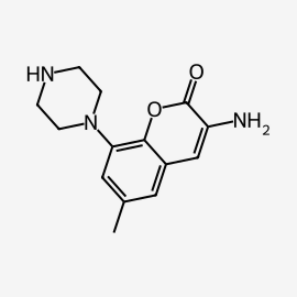 Cc1cc(N2CCNCC2)c2oc(=O)c(N)cc2c1